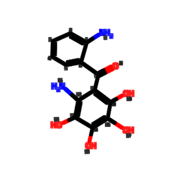 Nc1ccccc1C(=O)c1c(N)c(O)c(O)c(O)c1O